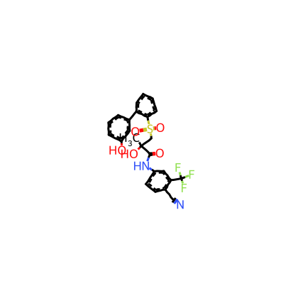 CC(O)(CS(=O)(=O)c1ccccc1-c1cccc(O)c1)C(=O)Nc1ccc(C#N)c(C(F)(F)F)c1